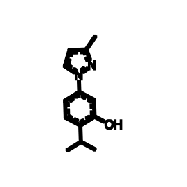 Cc1ccn(-c2ccc(C(C)C)c(O)c2)n1